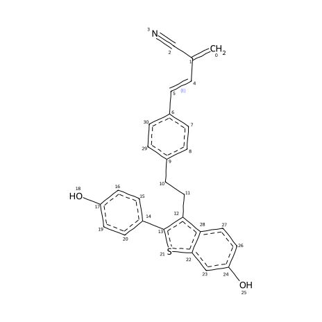 C=C(C#N)/C=C/c1ccc(CCc2c(-c3ccc(O)cc3)sc3cc(O)ccc23)cc1